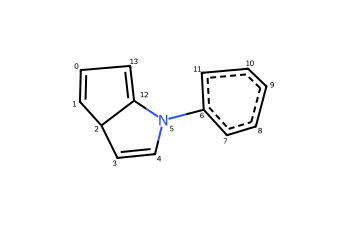 C1=CC2C=CN(c3ccccc3)C2=C1